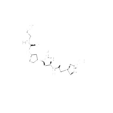 Cn1cc(CC(=O)Nc2cc([C@H]3CC[C@@H](OC(=O)NCCC(F)(F)F)C3)[nH]n2)cn1